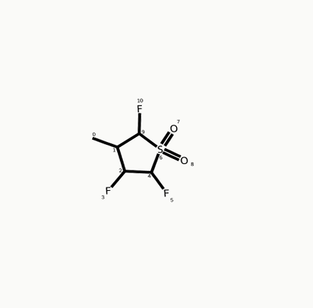 CC1C(F)C(F)S(=O)(=O)C1F